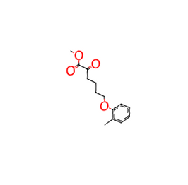 COC(=O)C(=O)CCCCOc1ccccc1C